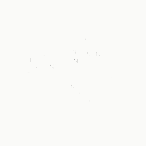 COc1cncc(-c2c(-c3ccc(C)cc3)cnn3c(=O)n(Cc4ccc(C(F)(F)F)nc4)nc23)c1